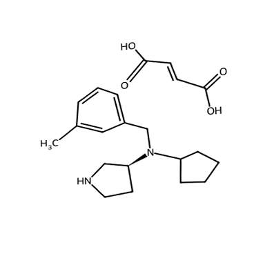 Cc1cccc(CN(C2CCCC2)[C@H]2CCNC2)c1.O=C(O)/C=C/C(=O)O